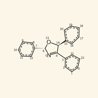 c1ccc(C2=N[C@H](c3ccccc3)O[C@H]2c2ccccc2)cc1